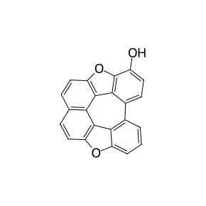 Oc1ccc2c3c1oc1ccc4ccc5oc6cccc-2c6c5c4c13